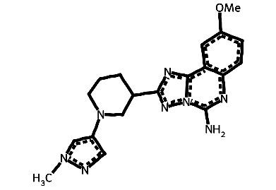 COc1ccc2nc(N)n3nc(C4CCCN(c5cnn(C)c5)C4)nc3c2c1